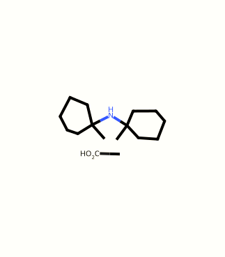 CC(=O)O.CC1(NC2(C)CCCCC2)CCCCC1